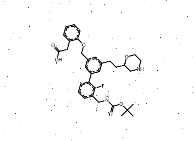 C[C@@H](NC(=O)OC(C)(C)C)c1cccc(-c2cc(CCC3CNCCO3)cc(COc3ccccc3CC(=O)O)c2)c1F